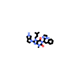 CC(C)=CCn1c(N2CCC3CNC=C32)nc2c1c(=O)n(C(Cc1ccccc1)c1ncc[nH]1)c(=O)n2C